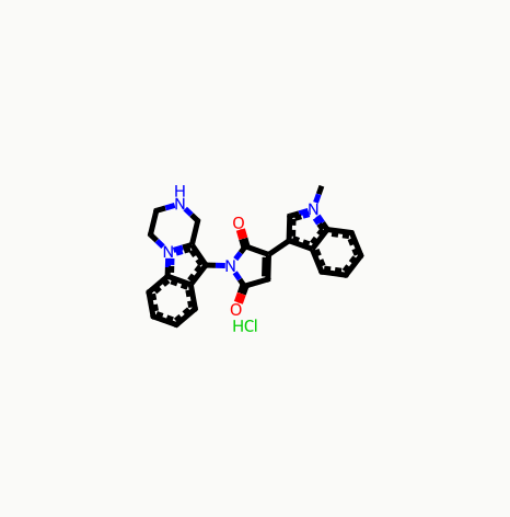 Cl.Cn1cc(C2=CC(=O)N(c3c4n(c5ccccc35)CCNC4)C2=O)c2ccccc21